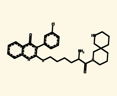 NC(CCCCSc1nc2ccccc2c(=O)n1-c1cccc(Cl)c1)C(=O)N1CCCC2(CCCNC2)C1